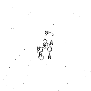 C=N/C(=N\C=C(/C)CCN)c1ccc(C#N)cc1[S+]([O-])c1cnnc(N2CCCCC2)c1